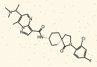 Cc1c(C(C)N(C)C)cnc2c(C(=O)N[C@H]3CC[C@@]4(CCN(c5ccc(F)cc5Cl)C4=O)CC3)cnn12